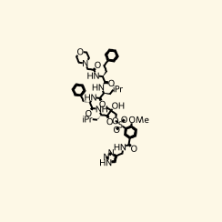 COc1ccc(C(=O)NCc2c[nH]nn2)cc1S(=O)(=O)OCC(C)(O)C(=O)[C@H](CC(C)C)NC(=O)[C@H](Cc1ccccc1)NC(=O)[C@H](CC(C)C)NC(=O)[C@H](CCc1ccccc1)NC(=O)CN1CCOCC1